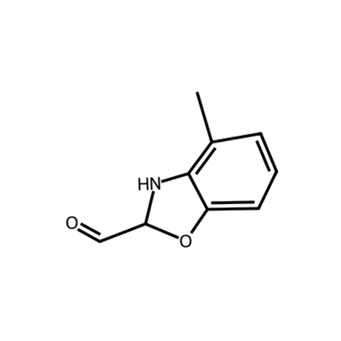 Cc1cccc2c1NC(C=O)O2